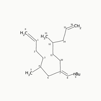 C=CCCC(C)CC(=CCCCC)CCC(C)CC=C